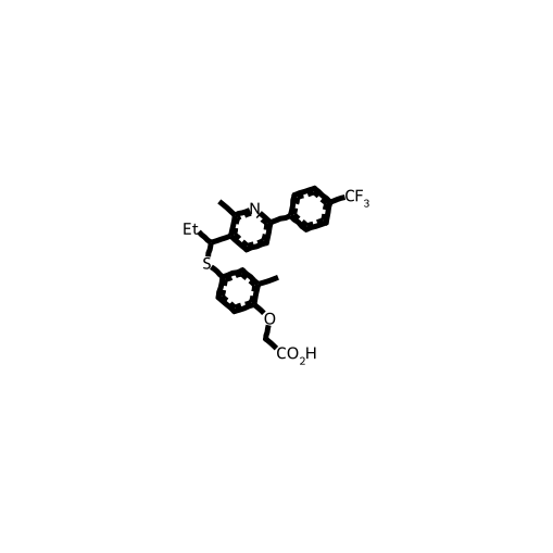 CCC(Sc1ccc(OCC(=O)O)c(C)c1)c1ccc(-c2ccc(C(F)(F)F)cc2)nc1C